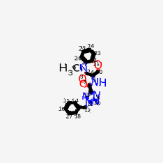 CN1C(=O)C(NC(=O)c2nnn(Cc3ccccc3)n2)COc2ccccc21